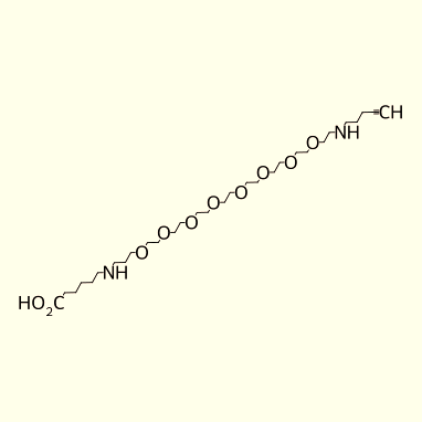 C#CCCCNCCOCCOCCOCCOCCOCCOCCOCCOCCCNCCCCCC(=O)O